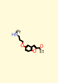 CCC(=O)c1cc2cc(OCCCNC(C)C)ccc2o1